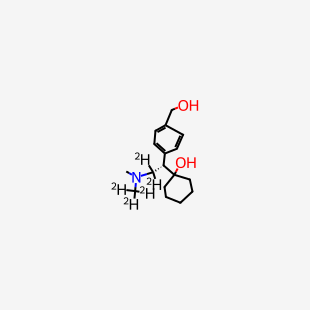 [2H]C([2H])([2H])N(C)C([2H])([2H])[C@H](c1ccc(CO)cc1)C1(O)CCCCC1